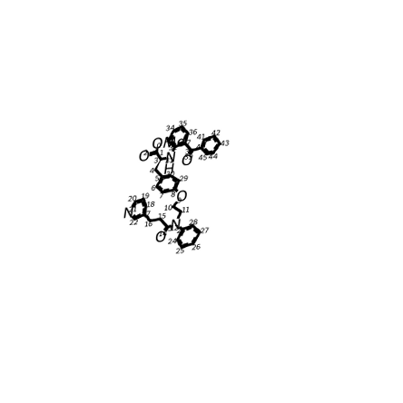 COC(=O)[C@H](Cc1ccc(OCCN(C(=O)CCc2cccnc2)c2ccccc2)cc1)Nc1ccccc1C(=O)c1ccccc1